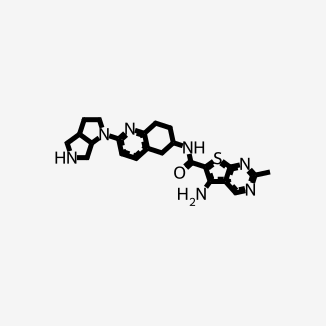 Cc1ncc2c(N)c(C(=O)NC3CCc4nc(N5CCC6CNCC65)ccc4C3)sc2n1